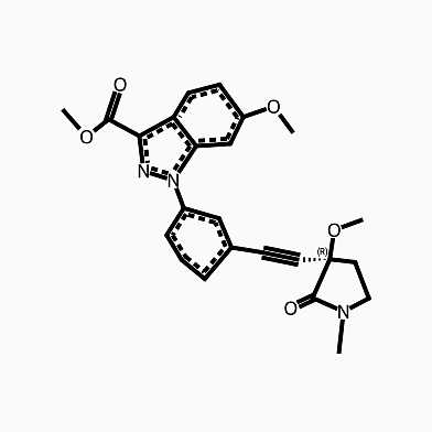 COC(=O)c1nn(-c2cccc(C#C[C@]3(OC)CCN(C)C3=O)c2)c2cc(OC)ccc12